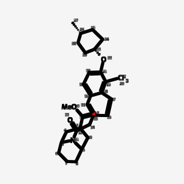 COC(=O)C1CC2CCCC(C1)N2C(=O)Cc1ccc2c(C(F)(F)F)c(O[C@H]3CC[C@@H](C)CC3)ccc2c1